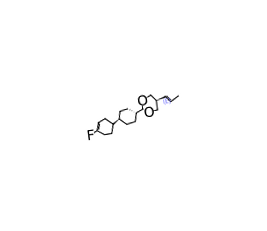 C/C=C/[C@H]1CO[C@H]([C@H]2CC[C@H](C3CC=C(F)CC3)CC2)OC1